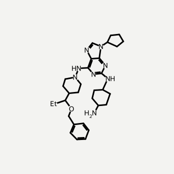 CCC(OCc1ccccc1)C1CCN(Nc2nc(NC3CCC(N)CC3)nc3c2ncn3C2CCCC2)CC1